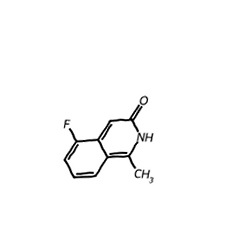 Cc1[nH]c(=O)cc2c(F)cccc12